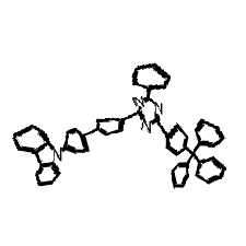 c1ccc(-c2nc(-c3ccc(-c4ccc(-n5c6ccccc6c6ccccc65)cc4)cc3)nc(-c3ccc(C(c4ccccc4)(c4ccccc4)c4ccccc4)cc3)n2)cc1